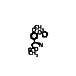 COC(=O)CC(C#N)c1ccc(OC)c(OC2CCCC2)c1